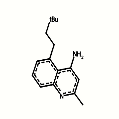 Cc1cc(N)c2c(CCC(C)(C)C)cccc2n1